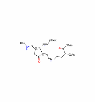 CCCCCC/C=C/[C@H]1[C@H](CNC(C)(C)C)CC(=O)[C@@H]1C/C=C\CCC(OC(C)=O)C(=O)OC